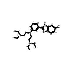 CCN(CC)CCN(CCN(CC)CC)c1cccc(-c2nc3ccc(Cl)cc3[nH]2)c1